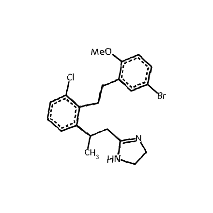 COc1ccc(Br)cc1CCc1c(Cl)cccc1C(C)CC1=NCCN1